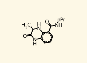 CCCNC(=O)c1cccc2c1N[C@H](C)C(=O)N2